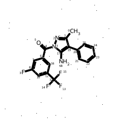 Cc1nn(C(=O)c2cc(F)cc(C(F)(F)F)c2)c(N)c1-c1ccccc1